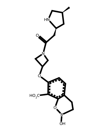 C[C@@H]1CN[C@H](CC(=O)N2CC(Oc3ccc4c(c3C(=O)O)OB(O)CC4)C2)C1